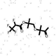 CC(=O)C(C)(C)OCC(C)(C)OC(=O)C(F)C(F)(F)F